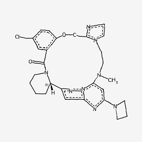 CN1CCn2ccnc2COc2ccc(Cl)cc2C(=O)N2CCCC[C@H]2c2cc3nc(N4CCC4)cc1n3n2